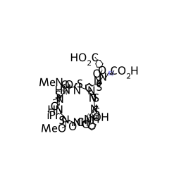 CNC(=O)C[C@@H]1NC(=O)c2csc(n2)-c2ccc(-c3nc(N(C/C=C/C(=O)O)C(=O)O[C@H]4CC[C@H](C(=O)O)CC4)cs3)nc2-c2csc(n2)-c2csc(n2)[C@H]([C@@H](O)c2ccccc2)NC(=O)CNC(=O)c2nc(sc2COC)C(C(C)C)NC(=O)c2nc1sc2C